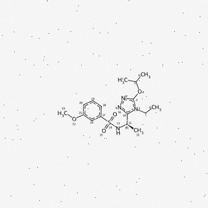 CCn1c(OC(C)C)nnc1[C@@H](C)NS(=O)(=O)c1cccc(OC)c1